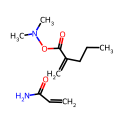 C=C(CCC)C(=O)ON(C)C.C=CC(N)=O